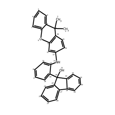 CC1(C)c2ccccc2Oc2cc(Nc3ccccc3C3(O)c4ccccc4-c4ccccc43)ccc21